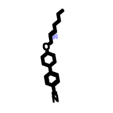 CCCC/C=C/COC1CCC(c2ccc(C#N)cc2)CC1